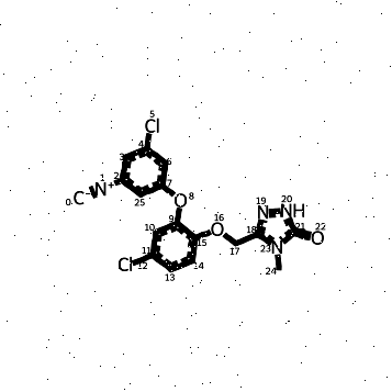 [C-]#[N+]c1cc(Cl)cc(Oc2cc(Cl)ccc2OCc2n[nH]c(=O)n2C)c1